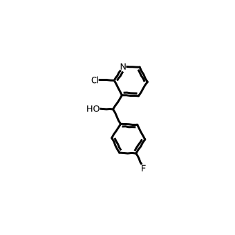 OC(c1ccc(F)cc1)c1cccnc1Cl